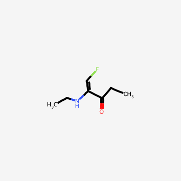 CCNC(=CF)C(=O)CC